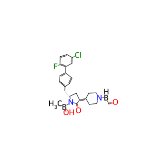 CB(O)N1C(=O)C(=C2CCN(BC=O)CC2)C[C@H]1Cc1ccc(-c2cc(Cl)ccc2F)cc1